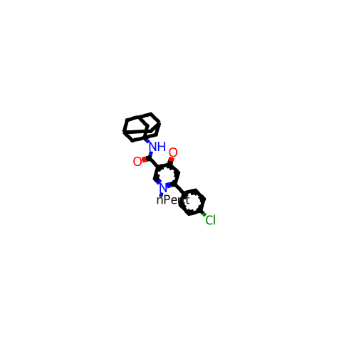 CCCCCn1cc(C(=O)NC23CC4CC(CC(C4)C2)C3)c(=O)cc1-c1ccc(Cl)cc1